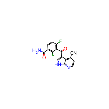 N#Cc1ccnc2[nH]cc(C(=O)c3c(F)ccc(C(N)=O)c3F)c12